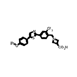 CC(C)Oc1ccc(-c2cnc(-c3ccc(CN4CC(C(=O)O)C4)c(C(F)(F)F)c3)s2)cc1